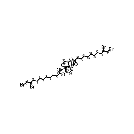 O=C(CCCCCCCCC(Br)CBr)O[C@H]1CO[C@H]2[C@@H]1OC[C@H]2OC(=O)CCCCCCCCC(Br)CBr